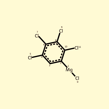 [Cl][Mg][c]1cc(Cl)c(Cl)c(Cl)c1Cl